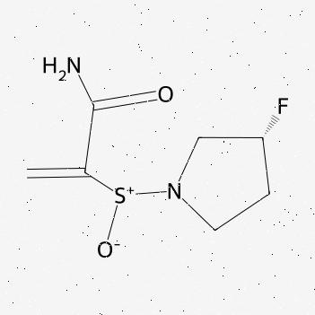 C=C(C(N)=O)[S+]([O-])N1CC[C@@H](F)C1